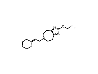 FC(F)(F)COc1nc2c(s1)CCN(CC=C1CCCCC1)CC2